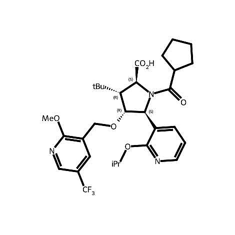 COc1ncc(C(F)(F)F)cc1CO[C@@H]1[C@H](C(C)(C)C)[C@@H](C(=O)O)N(C(=O)C2CCCC2)[C@H]1c1cccnc1OC(C)C